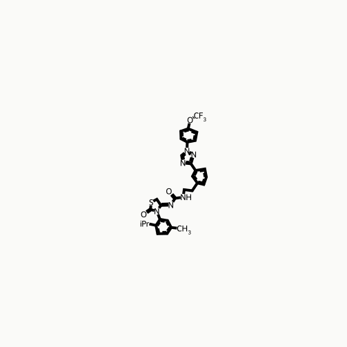 Cc1ccc(C(C)C)c(N2C(=O)SC/C2=N\C(=O)NCCc2cccc(-c3ncn(-c4ccc(OC(F)(F)F)cc4)n3)c2)c1